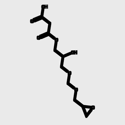 O=C(O)CC(=O)OCC(O)COCOCC1CO1